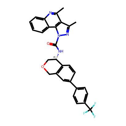 Cc1nc2ccccc2c2c1c(C)nn2C(=O)N[C@H]1COCc2cc(-c3ccc(C(F)(F)F)cc3)ccc21